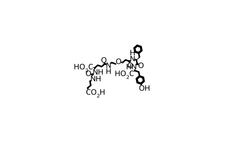 O=C(O)CCCNC(=O)N[C@@H](CCC(=O)NCCOCCC(=O)N[C@@H](Cc1ccccc1)C(=O)N[C@@H](Cc1ccc(O)cc1)C(=O)O)C(=O)O